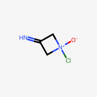 N=C1C[N+]([O-])(Cl)C1